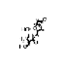 Cl.NC(CO)C(=O)NCC1CN2C(=O)CC2O1